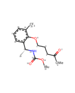 COC(=O)CCCOc1c([C@@H](C)NC(=O)OC(C)(C)C)cccc1C(F)(F)F